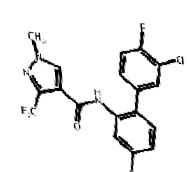 Cn1cc(C(=O)Nc2cc(F)ccc2-c2ccc(F)c(Cl)c2)c(C(F)(F)F)n1